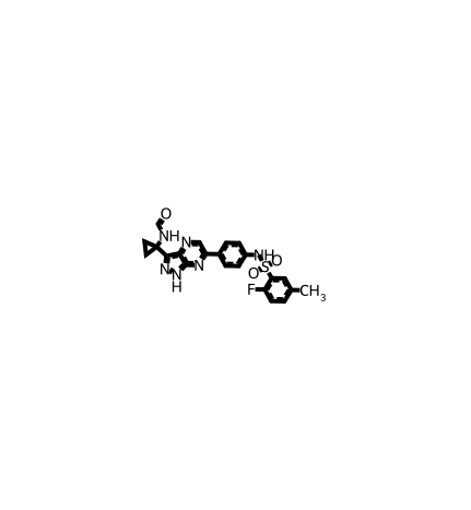 Cc1ccc(F)c(S(=O)(=O)Nc2ccc(-c3cnc4c(C5(NC=O)CC5)n[nH]c4n3)cc2)c1